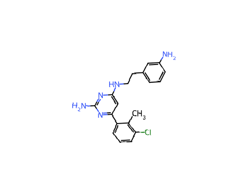 Cc1c(Cl)cccc1-c1cc(NCCc2cccc(N)c2)nc(N)n1